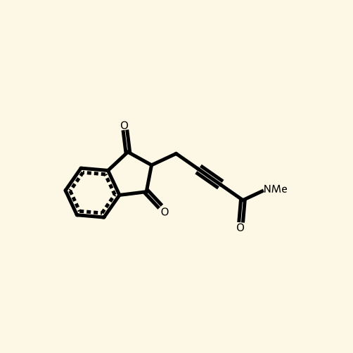 CNC(=O)C#CCC1C(=O)c2ccccc2C1=O